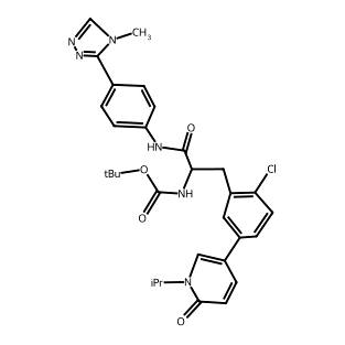 CC(C)n1cc(-c2ccc(Cl)c(CC(NC(=O)OC(C)(C)C)C(=O)Nc3ccc(-c4nncn4C)cc3)c2)ccc1=O